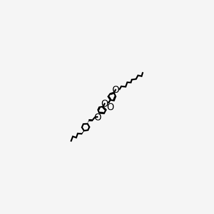 CCCCCCCCCCOc1ccc(C(=O)Oc2ccc(OC/C=C/[C@H]3CC[C@H](CCCCC)CC3)cc2)cc1